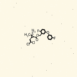 CC1(C)C(C=C(Cl)Cl)C1C(=O)OCc1cc(Oc2cccc(F)c2)ccc1F